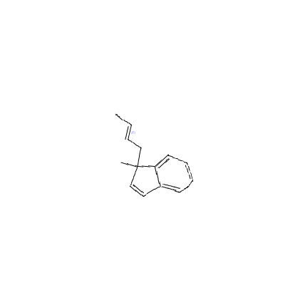 C/C=C/CC1(C)C=Cc2ccccc21